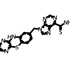 NC(=S)c1ncnc2c1ncn2Cc1ccc2c(c1)Nc1nccnc1S2